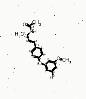 COc1cc(F)cc(Oc2ccc(/C=C/[C@H](C)NC(C)=O)cn2)c1